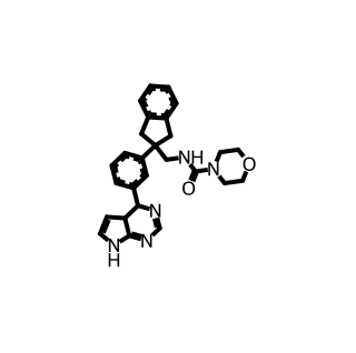 O=C(NCC1(c2cccc(C3N=CN=C4NC=CC43)c2)Cc2ccccc2C1)N1CCOCC1